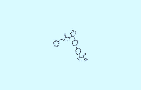 O=C(Nc1ccnnc1-c1ccc(-c2ccc(C3(C(=O)O)CC3)cc2)cc1)OCc1ccccc1